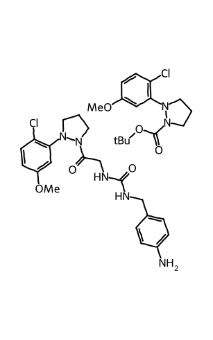 COc1ccc(Cl)c(N2CCCN2C(=O)CNC(=O)NCc2ccc(N)cc2)c1.COc1ccc(Cl)c(N2CCCN2C(=O)OC(C)(C)C)c1